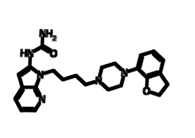 NC(=O)Nc1cc2cccnc2n1CCCCN1CCN(c2cccc3c2OCC3)CC1